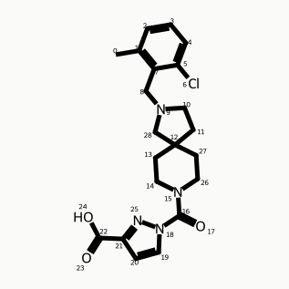 Cc1cccc(Cl)c1CN1CCC2(CCN(C(=O)n3ccc(C(=O)O)n3)CC2)C1